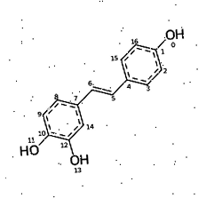 Oc1ccc(/C=C/c2ccc(O)c(O)c2)cc1